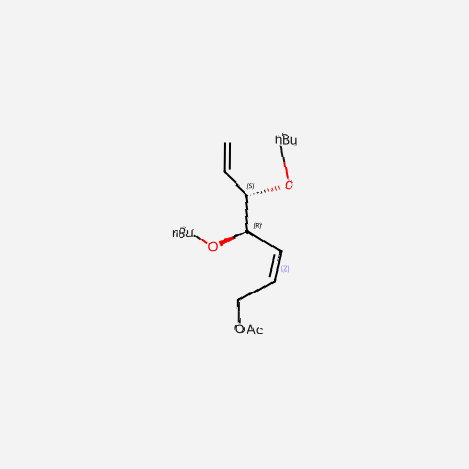 C=C[C@H](OCCCC)[C@@H](/C=C\COC(C)=O)OCCCC